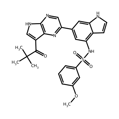 COc1cccc(S(=O)(=O)Nc2cc(-c3cnc4[nH]cc(C(=O)C(C)(C)C)c4n3)cc3[nH]ccc23)c1